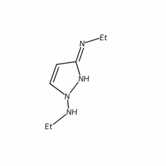 CCN=c1ccn(NCC)[nH]1